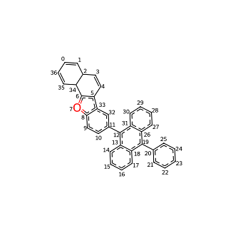 C1=CC2C=Cc3c(oc4ccc(-c5c6ccccc6c(-c6ccccc6)c6ccccc56)cc34)C2C=C1